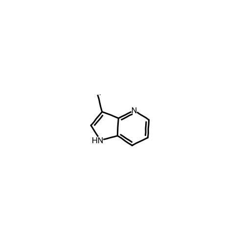 [CH2]c1c[nH]c2cccnc12